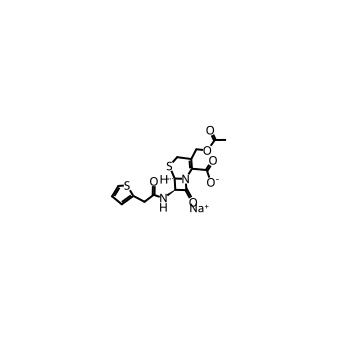 CC(=O)OCC1=C(C(=O)[O-])N2C(=O)[C@@H](NC(=O)Cc3cccs3)[C@H]2SC1.[Na+]